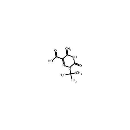 C=C1NC(=O)N(C(C)(C)C)N=C1C(=O)O